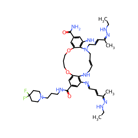 CCN\N=C(C)/C=C/C=N/c1cc(C(=O)NCCCN2CCC(F)(F)CC2)cc2c1NC/C=C/CN(C/C=C/C(C)=N\NCC)c1c(N)cc(C(N)=O)cc1OCCCO2